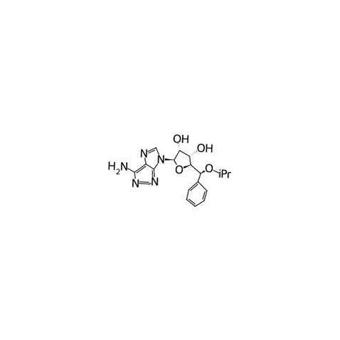 CC(C)O[C@@H](c1ccccc1)[C@H]1O[C@@H](n2cnc3c(N)ncnc32)[C@H](O)[C@@H]1O